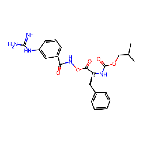 CC(C)COC(=O)N[C@@H](Cc1ccccc1)C(=O)ONC(=O)c1cccc(NC(=N)N)c1